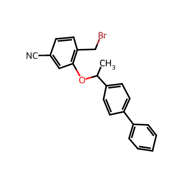 CC(Oc1cc(C#N)ccc1CBr)c1ccc(-c2ccccc2)cc1